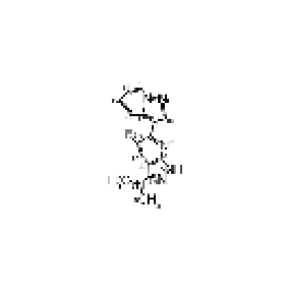 CN(C)c1n[nH]c2nc(-c3cnn4ccccc34)c(F)cc12